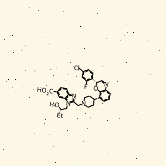 CC[C@H](O)Cn1c(CN2CCC(c3cccc4c3O[C@H](c3ccc(Cl)cc3F)C=N4)CC2)nc2ccc(C(=O)O)cc21